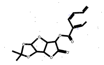 C=C/C=C\C(=C/C)C(=O)OC1C(=O)OC2C3OC(C)(C)OC3OC12